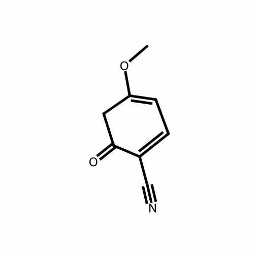 COC1=CC=C(C#N)C(=O)C1